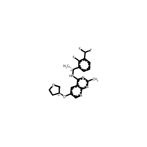 Cc1nc(N[C@H](C)c2cccc(C(F)F)c2F)c2cc(O[C@H]3CCOC3)cnc2n1